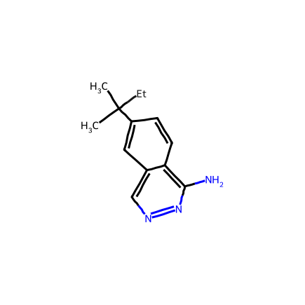 CCC(C)(C)c1ccc2c(N)nncc2c1